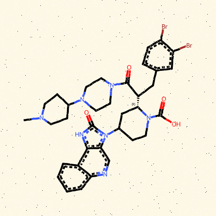 CN1CCC(N2CCN(C(=O)C(Cc3ccc(Br)c(Br)c3)[C@H]3CC(n4c(=O)[nH]c5c6ccccc6ncc54)CCN3C(=O)O)CC2)CC1